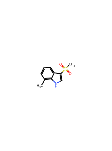 Cc1cccc2c(S(C)(=O)=O)c[nH]c12